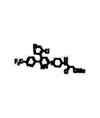 COCC(=O)NC1CCN(c2cc(-c3ccncc3Cl)c(-c3ccc(C(F)(F)F)cc3)nn2)CC1